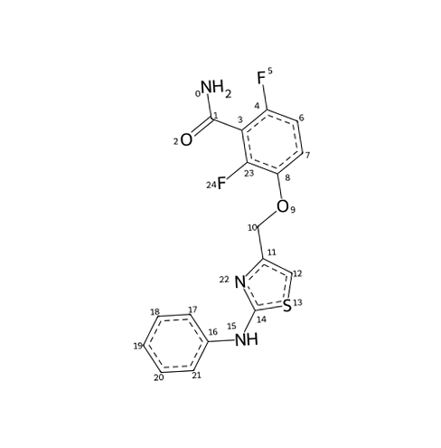 NC(=O)c1c(F)ccc(OCc2csc(Nc3ccccc3)n2)c1F